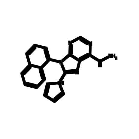 NNc1ncnc2c1nc([SH]1C=CC=C1)n2-c1cccc2ccccc12